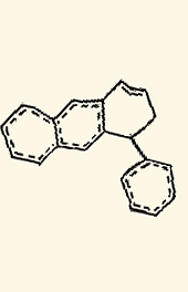 C1=Cc2cc3ccccc3cc2[C](c2ccccc2)C1